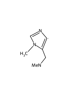 CNCc1[c]ncn1C